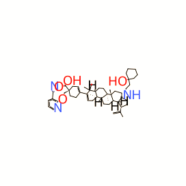 C=C(C)[C@@H]1CC[C@]2(NCCC3(O)CCCCC3)CC[C@]3(C)[C@H](CC[C@@H]4[C@@]5(C)CC=C(C6=CC[C@@](COc7ncccc7C#N)(C(=O)O)CC6)C(C)(C)[C@@H]5CC[C@]43C)[C@@H]12